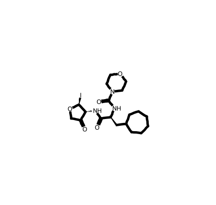 O=C(N[C@@H]1C(=O)CO[C@H]1I)[C@H](CC1CCCCCC1)NC(=O)N1CCOCC1